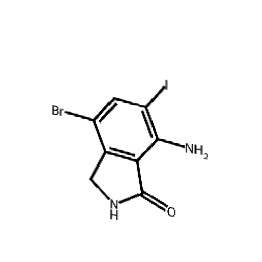 Nc1c(I)cc(Br)c2c1C(=O)NC2